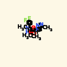 CN[C@H](c1ccc(F)c(F)c1)[C@H]1O[C@@H](n2ccc3c(C)ncnc32)[C@@H]2OC(C)(C)O[C@@H]21